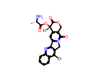 CCc1c2c(nc3ccccc13)-c1cc3c(c(=O)n1C2)COC(=O)[C@@]3(CC)OC(=O)[C@H](C)N